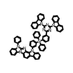 c1ccc(-n2c3ccccc3n3c4ccc5c6ccccc6n(-c6cccc([Si](c7ccccc7)(c7ccccc7)c7cccc(-c8nc(-n9c%10ccccc%10c%10ccccc%109)nc(-n9c%10ccccc%10c%10ccccc%109)n8)c7)c6)c5c4nc23)cc1